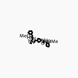 COc1ccccc1CNc1nc(-c2ccc(NC(=O)Nc3ccccc3OC)cc2)cn2ccnc12